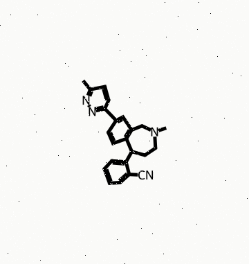 Cc1ccc(-c2ccc3c(c2)CN(C)CCC3c2ccccc2C#N)nn1